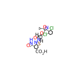 O=C(O)c1cc(C2COCN2)c2nc(N3C(=O)[C@@H]4C[C@H]3C[C@H]4OCc3c(-c4c(Cl)cccc4Cl)noc3C3CC3)sc2c1